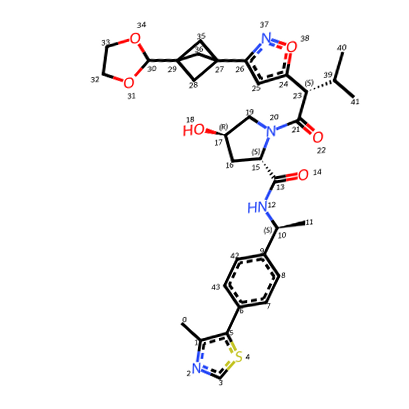 Cc1ncsc1-c1ccc([C@H](C)NC(=O)[C@@H]2C[C@@H](O)CN2C(=O)[C@H](c2cc(C34CC(C5OCCO5)(C3)C4)no2)C(C)C)cc1